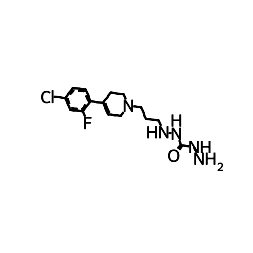 NNC(=O)NNCCCN1CC=C(c2ccc(Cl)cc2F)CC1